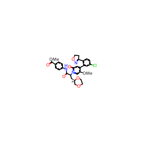 COC(=O)c1ccc(NC(=O)C(C[C@@H]2COCCO2)n2cc(OC)c(-c3cc(Cl)ccc3C3=NOCC3)cc2=O)cc1